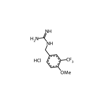 COc1ccc(CNC(=N)N)cc1C(F)(F)F.Cl